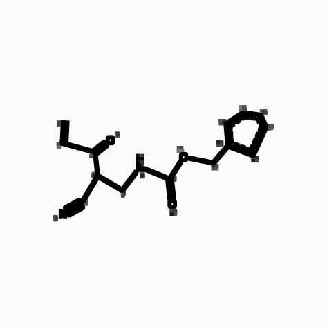 C=CC(=O)C(C#N)CNC(=O)OCc1ccccc1